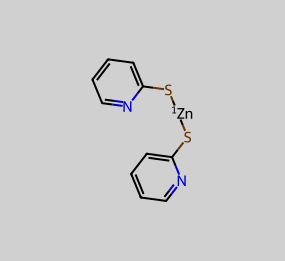 c1ccc([S][1Zn][S]c2ccccn2)nc1